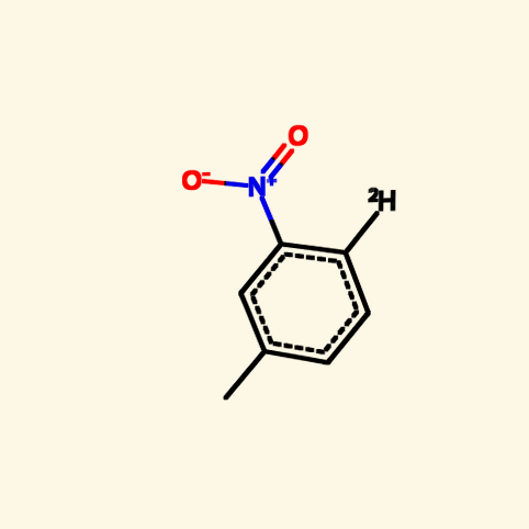 [2H]c1ccc(C)cc1[N+](=O)[O-]